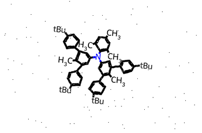 Cc1cc(C)c(N(c2cc(-c3ccc(C(C)(C)C)cc3)c(C)c(-c3ccc(C(C)(C)C)cc3)c2)c2cc(-c3ccc(C(C)(C)C)cc3)c(C)c(-c3ccc(C(C)(C)C)cc3)c2)c(C)c1